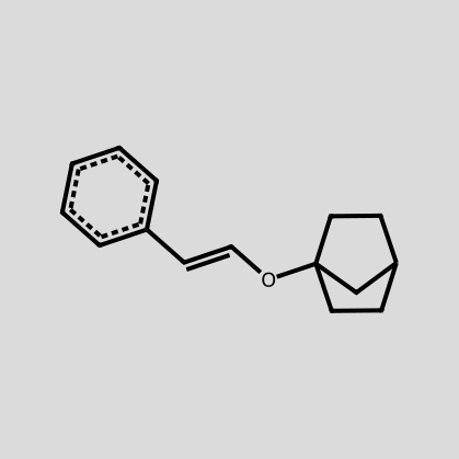 C(=Cc1ccccc1)OC12CCC(CC1)C2